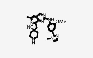 COc1cc(-c2nccn2C)ccc1Nc1ncc2cc(C)nc(CC3(C#N)CCNCC3)c2n1